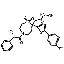 O=C(CC1(c2ccc(-c3ccc(Cl)cc3)s2)CCN(C(=O)[C@@H](O)c2ccccc2)CCS1(=O)=O)NO